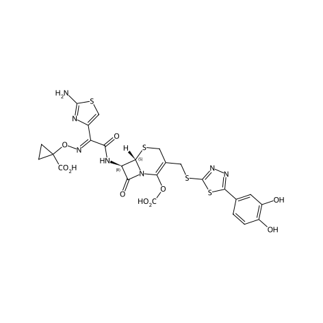 Nc1nc(C(=NOC2(C(=O)O)CC2)C(=O)N[C@@H]2C(=O)N3C(OC(=O)O)=C(CSc4nnc(-c5ccc(O)c(O)c5)s4)CS[C@@H]23)cs1